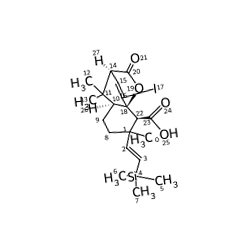 CC1(/C=C/[Si](C)(C)C)CC[C@H]2C(C)(C)[C@@H]3C=C(I)[C@]2(OC3=O)[C@H]1C(=O)O